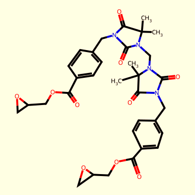 CC1(C)C(=O)N(Cc2ccc(C(=O)OCC3CO3)cc2)C(=O)N1CN1C(=O)N(Cc2ccc(C(=O)OCC3CO3)cc2)C(=O)C1(C)C